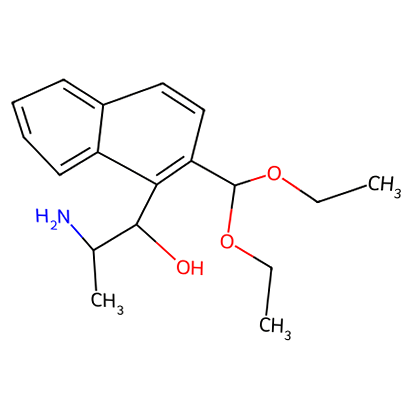 CCOC(OCC)c1ccc2ccccc2c1C(O)C(C)N